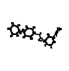 N#Cc1cccc(OCc2ccc(-c3ccccc3)cc2)c1